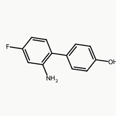 Nc1cc(F)ccc1-c1ccc(O)cc1